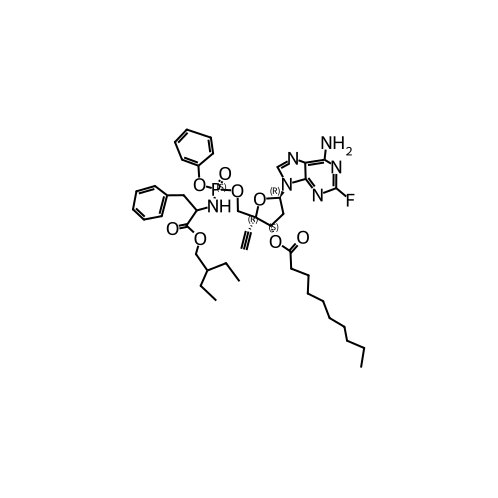 C#C[C@]1(CO[P@@](=O)(NC(Cc2ccccc2)C(=O)OCC(CC)CC)Oc2ccccc2)O[C@@H](n2cnc3c(N)nc(F)nc32)C[C@@H]1OC(=O)CCCCCCCCC